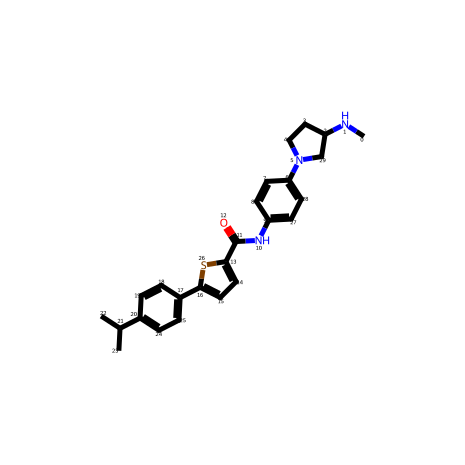 CNC1CCN(c2ccc(NC(=O)c3ccc(-c4ccc(C(C)C)cc4)s3)cc2)C1